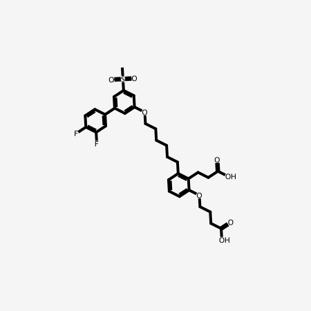 CS(=O)(=O)c1cc(OCCCCCCc2cccc(OCCCC(=O)O)c2CCC(=O)O)cc(-c2ccc(F)c(F)c2)c1